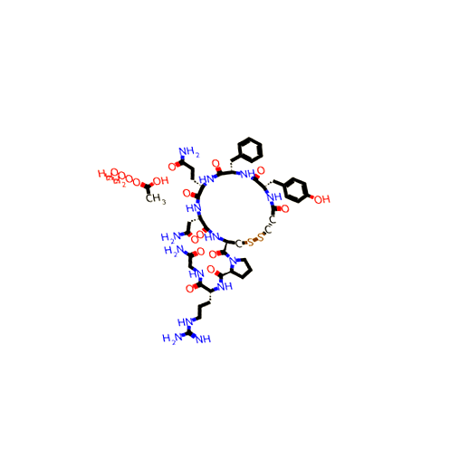 CC(=O)O.N=C(N)NCCC[C@@H](NC(=O)[C@@H]1CCCN1C(=O)[C@@H]1CSSCCC(=O)N[C@@H](Cc2ccc(O)cc2)C(=O)N[C@@H](Cc2ccccc2)C(=O)N[C@@H](CCC(N)=O)C(=O)N[C@@H](CC(N)=O)C(=O)N1)C(=O)NCC(N)=O.O.O.O